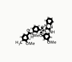 COc1cc(Nc2nc3ccccc3nc2NS(=O)(=O)c2cccc(NC(=O)c3ccc(C)c(OC)c3)c2)cc(OC)c1